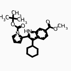 COC(=O)c1ccc2c(C3CCCCC3)c(-c3cccn3C(=O)OC(C)(C)C)[nH]c2c1